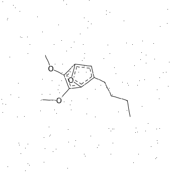 CCCCc1cc2oc1c(OC)c2OC